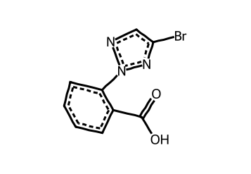 O=C(O)c1ccccc1-n1ncc(Br)n1